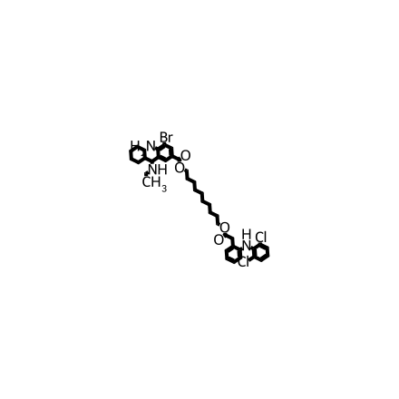 CCNC(c1cc(C(=O)OCCCCCCCCCCOC(=O)Cc2ccccc2Nc2c(Cl)cccc2Cl)cc(Br)c1N)C1CCCCC1